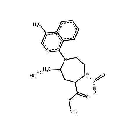 Cc1cnc(N2CC[C@H]([SH](=O)=O)C(C(=O)CN)CC2C)c2ccccc12.Cl.Cl